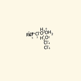 O.O.O.[Cl-].[Cl-].[Cl-].[Cl-].[Ru+4]